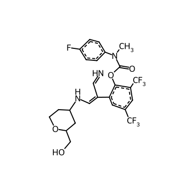 CN(C(=O)Oc1c(/C(C=N)=C/NC2CCOC(CO)C2)cc(C(F)(F)F)cc1C(F)(F)F)c1ccc(F)cc1